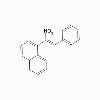 O=[N+]([O-])C(=Cc1ccccc1)c1cccc2ccccc12